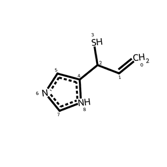 C=CC(S)c1cnc[nH]1